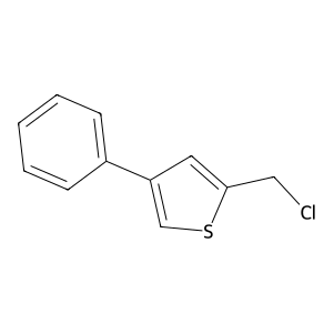 ClCc1cc(-c2ccccc2)cs1